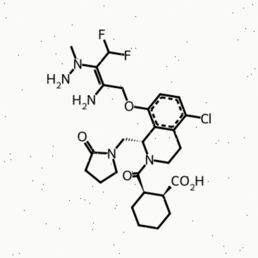 CN(N)/C(=C(\N)COc1ccc(Cl)c2c1[C@@H](CN1CCCC1=O)N(C(=O)[C@@H]1CCCC[C@@H]1C(=O)O)CC2)C(F)F